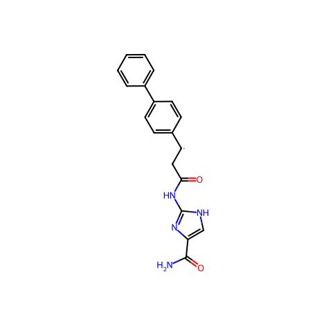 NC(=O)c1c[nH]c(NC(=O)C[CH]c2ccc(-c3ccccc3)cc2)n1